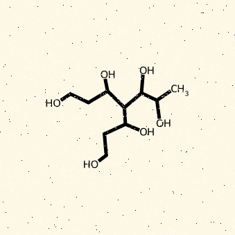 CC(O)C(O)C(C(O)CCO)C(O)CCO